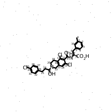 Cc1cccc(C[C@H](NC(=O)c2c(Cl)cc3c(c2Cl)CCN(C(O)CCc2ccc(Cl)cc2)C3)C(=O)O)c1